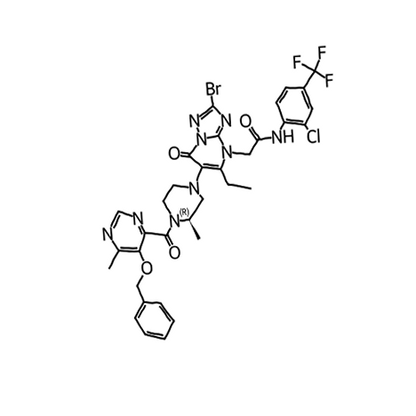 CCc1c(N2CCN(C(=O)c3ncnc(C)c3OCc3ccccc3)[C@H](C)C2)c(=O)n2nc(Br)nc2n1CC(=O)Nc1ccc(C(F)(F)F)cc1Cl